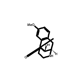 COc1ccc2c(c1)C13CCN[C@H](C2)[C@]1(O)CCC(=O)C3